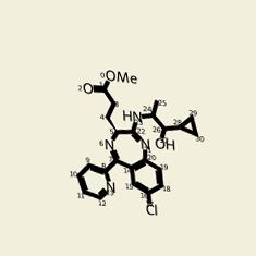 COC(=O)CC[C@@H]1N=C(c2ccccn2)c2cc(Cl)ccc2N=C1NC(C)C(O)C1CC1